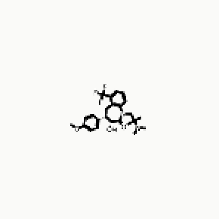 COc1ccc([C@@H]2Cc3c(cccc3C(F)(F)F)N(CC(C)(C)N(C)C)C(=O)[C@@H]2O)cc1